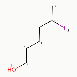 CC(I)CCCCO